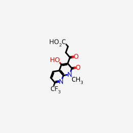 Cn1c(=O)c(C(=O)CCC(=O)O)c(O)c2ccc(C(F)(F)F)nc21